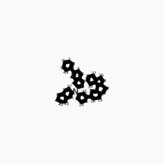 c1ccc(-c2ccc3ccc(N(c4cccc(-c5ccc6ccc7ccc8ccccc8c7c6c5)c4)c4ccc5ccccc5c4)cc3c2)cc1